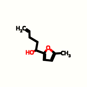 C=CCCC(O)c1ccc(C)o1